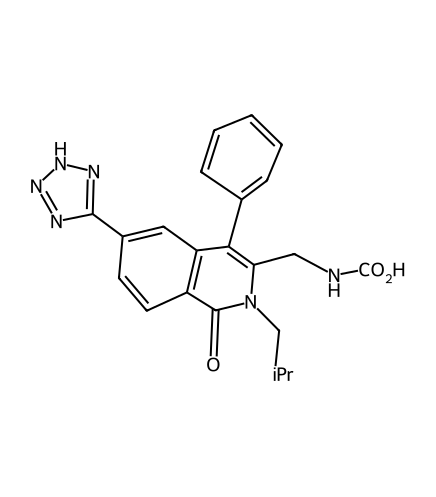 CC(C)Cn1c(CNC(=O)O)c(-c2ccccc2)c2cc(-c3nn[nH]n3)ccc2c1=O